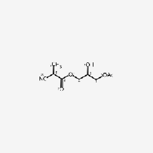 CC(=O)OCC(O)COC(=O)C(C)C#N